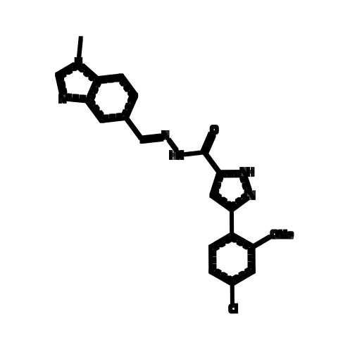 COc1cc(Cl)ccc1-c1cc(C(=O)N/N=C/c2ccc3c(c2)ncn3C)[nH]n1